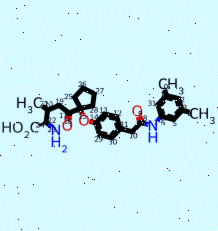 Cc1cc(C)cc(NC(=O)Cc2ccc(OC3(C(=O)CC(C)[C@@H](N)C(=O)O)CCCC3)cc2)c1